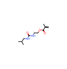 C=C(C)C(=O)OCCNC(=O)NCC(C)C